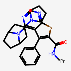 CC(C)NC(=O)c1sc2ncnc(N3C4CCC3CC(N3CCCC3)C4)c2c1-c1ccccc1